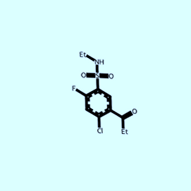 CCNS(=O)(=O)c1cc(C(=O)CC)c(Cl)cc1F